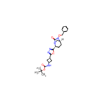 CC(C)(C)OC(=O)NC1CC(c2nnc([C@@H]3CC[C@H]4CN3C(=O)N4OCc3ccccc3)o2)C1